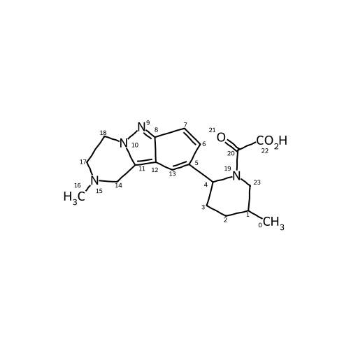 CC1CCC(c2ccc3nn4c(c3c2)CN(C)CC4)N(C(=O)C(=O)O)C1